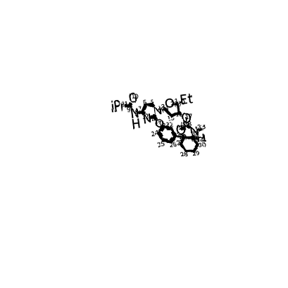 CC[C@H]1O[C@@H](n2ccc(NC(=O)C(C)C)nc2=O)CC1O[P@]1O[C@@]2(c3ccccc3)CCCC[C@H]2N1C